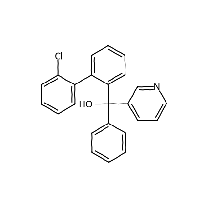 OC(c1ccccc1)(c1cccnc1)c1ccccc1-c1ccccc1Cl